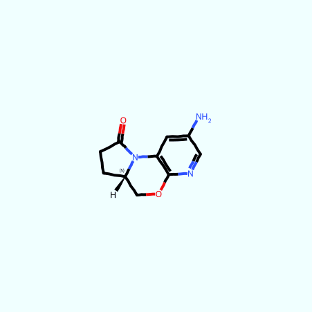 Nc1cnc2c(c1)N1C(=O)CC[C@H]1CO2